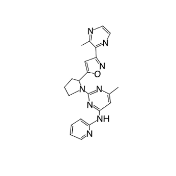 Cc1cc(Nc2ccccn2)nc(N2CCCC2c2cc(-c3nccnc3C)no2)n1